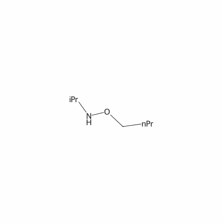 CCCCONC(C)C